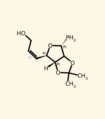 CC1(C)OC2[C@@H](P)O[C@H](/C=C\CO)[C@H]2O1